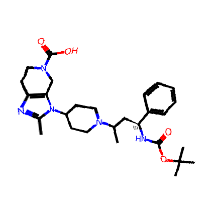 Cc1nc2c(n1C1CCN(C(C)C[C@H](NC(=O)OC(C)(C)C)c3ccccc3)CC1)CN(C(=O)O)CC2